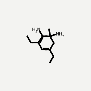 CCC1=CC(CC)=C(N)C(C)(N)C1